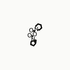 O=C(OC(=O)N1CC2CCC1C2)N1CCCCC1